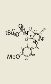 COc1ccc(Cn2nc(I)c3c2CN(C(=O)OC(C)(C)C)C3)cc1